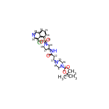 CC(C)(C)OC(=O)N1CCN(CCC(=O)N[C@H]2CCN(S(=O)(=O)c3cccc4cncc(Cl)c34)C2)CC1